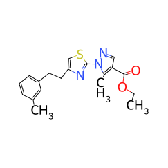 CCOC(=O)c1cnn(-c2nc(CCc3cccc(C)c3)cs2)c1C